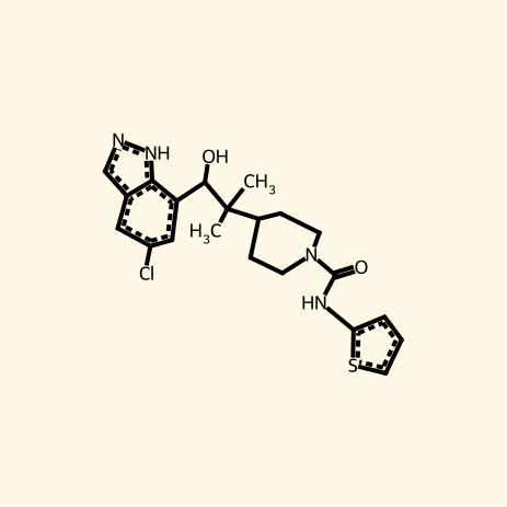 CC(C)(C1CCN(C(=O)Nc2cccs2)CC1)C(O)c1cc(Cl)cc2cn[nH]c12